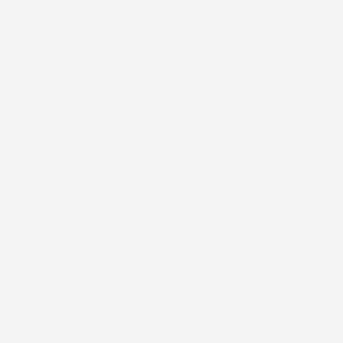 CCC=C(Cc1ccccc1)C(=O)Oc1ccccc1